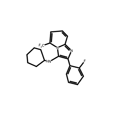 Fc1ccccc1-c1nc2cccc(C(F)(F)F)n2c1NC1CCCCC1